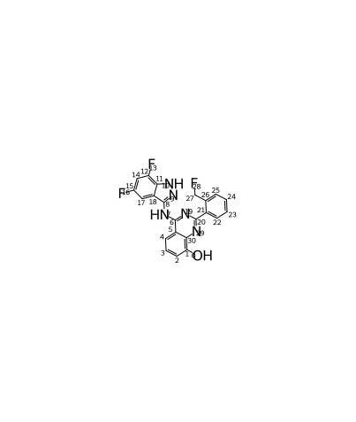 Oc1cccc2c(Nc3n[nH]c4c(F)cc(F)cc34)nc(-c3ccccc3CF)nc12